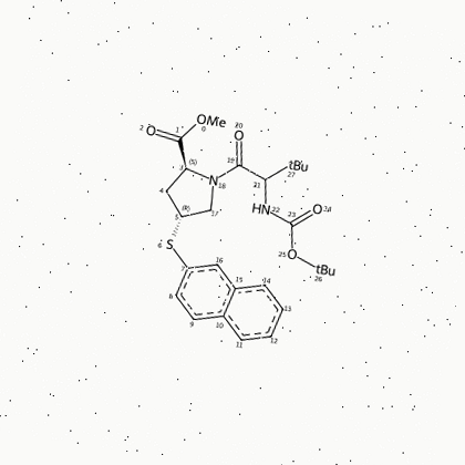 COC(=O)[C@@H]1C[C@@H](Sc2ccc3ccccc3c2)CN1C(=O)C(NC(=O)OC(C)(C)C)C(C)(C)C